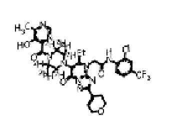 [2H]C1([2H])N(C(=O)c2ncnc(C)c2O)C([2H])([2H])C([2H])([2H])N(c2c(CC)n(CC(=O)Nc3ccc(C(F)(F)F)cc3Cl)c3nc(C4=CCOCC4)nn3c2=O)C1([2H])[2H]